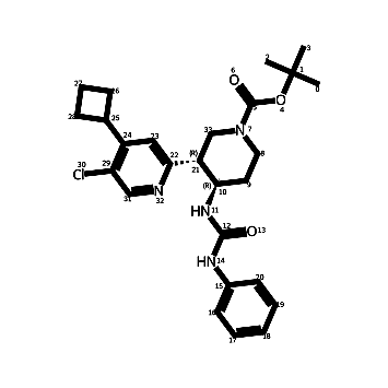 CC(C)(C)OC(=O)N1CC[C@@H](NC(=O)Nc2ccccc2)[C@H](c2cc(C3CCC3)c(Cl)cn2)C1